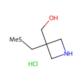 CSCC1(CO)CNC1.Cl